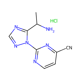 CC(N)c1ncnn1-c1nccc(C#N)n1.Cl